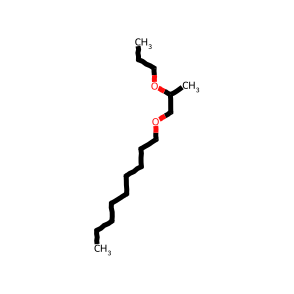 CCCCCCCCCOCC(C)OCCC